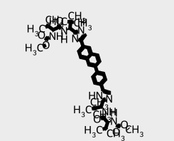 COC(=O)N[C@@H](C(=O)N[C@H](c1nc(-c2ccc3cc(-c4ccc(-c5cnc([C@@H](NC(=O)[C@H](NC(=O)OC)C(C)C)C(C)(C)C)[nH]5)cc4)ccc3c2)c[nH]1)C(C)(C)C)C(C)C